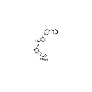 O=C(C=Cc1cccc(C=CC(=O)c2cccc(CN3CCN(Cc4ccccc4)CC3)c2)c1)NO